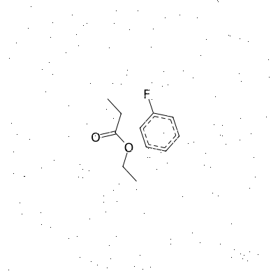 CCOC(=O)CC.Fc1ccccc1